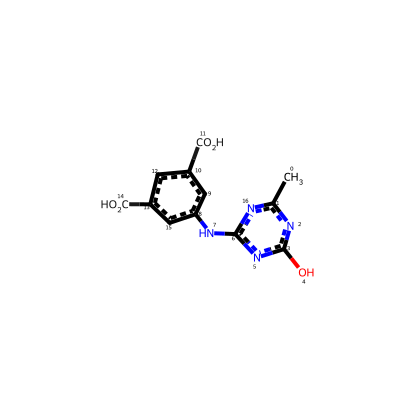 Cc1nc(O)nc(Nc2cc(C(=O)O)cc(C(=O)O)c2)n1